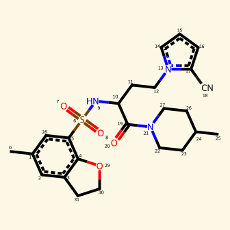 Cc1cc2c(c(S(=O)(=O)NC(CCn3cccc3C#N)C(=O)N3CCC(C)CC3)c1)OCC2